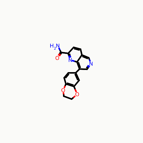 NC(=O)c1ccc2cncc(-c3ccc4c(c3)OCCO4)c2n1